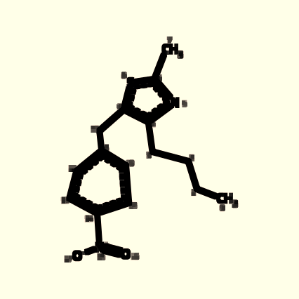 CCCCc1nc(C)sc1Cc1ccc([N+](=O)[O-])cc1